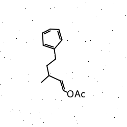 CC(=O)OC=CC(C)CCc1ccccc1